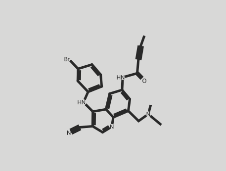 CC#CC(=O)Nc1cc(CN(C)C)c2ncc(C#N)c(Nc3cccc(Br)c3)c2c1